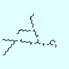 CC/C=C\CCCCOC(CCC(=O)OCC(COC(=O)CCCCC(=O)OCC(CCCCCC)CCCCCCCC)COC(=O)OCC1CCCN(CC)C1)OCCCC/C=C\CC